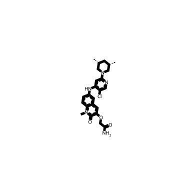 C[C@@H]1C[C@H](C)CN(c2cc(Nc3ccc4c(c3)cc(OCC(N)=O)c(=O)n4C)c(Cl)cn2)C1